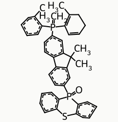 C=P(C1=C(C)CCC=C1)(c1ccc2c(c1)C(C)(C)c1cc(P3(=O)c4ccccc4Sc4ccccc43)ccc1-2)c1ccccc1C